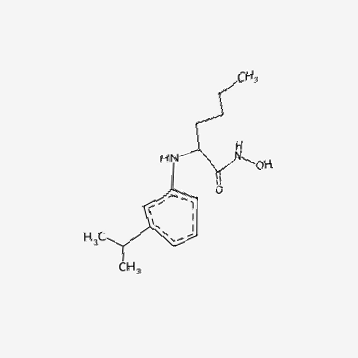 CCCCC(Nc1cccc(C(C)C)c1)C(=O)NO